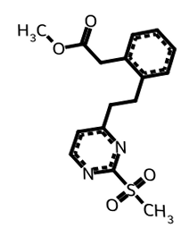 COC(=O)Cc1ccccc1CCc1ccnc(S(C)(=O)=O)n1